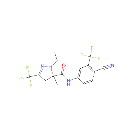 CCN1N=C(C(F)(F)F)CC1(C)C(=O)Nc1ccc(C#N)c(C(F)(F)F)c1